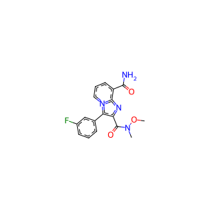 CON(C)C(=O)c1nc2c(C(N)=O)cccn2c1-c1cccc(F)c1